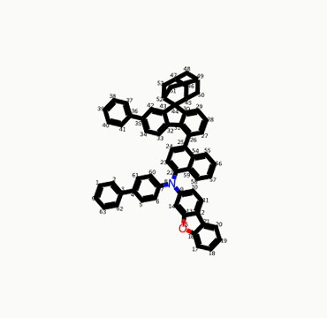 c1ccc(-c2ccc(N(c3ccc4c(c3)oc3ccccc34)c3ccc(-c4cccc5c4-c4ccc(-c6ccccc6)cc4C54C5CC6CC(C5)CC4C6)c4ccccc34)cc2)cc1